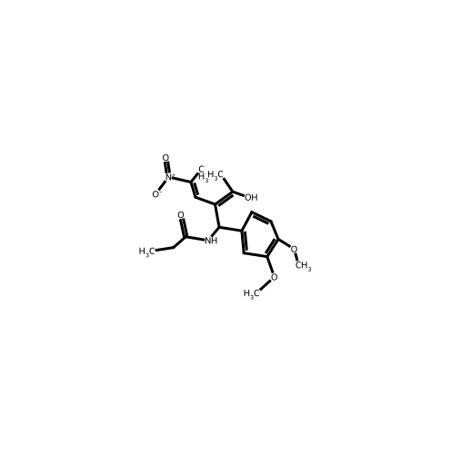 CCC(=O)NC(C(/C=C(\C)[N+](=O)[O-])=C(/C)O)c1ccc(OC)c(OC)c1